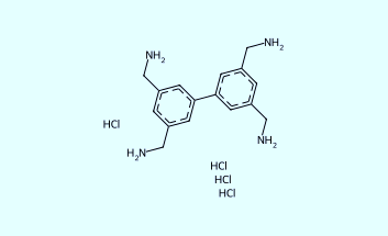 Cl.Cl.Cl.Cl.NCc1cc(CN)cc(-c2cc(CN)cc(CN)c2)c1